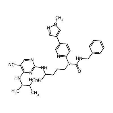 CCCC(CCCN(C(=O)NCc1ccccc1)c1ccc(-c2cnn(C)c2)cn1)Nc1ncc(C#N)c(NC(C)C(C)O)n1